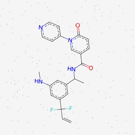 C=CC(F)(F)c1cc(NC)cc(C(C)NC(=O)c2ccc(=O)n(-c3ccncc3)c2)c1